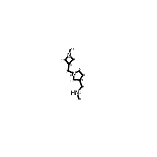 CNCC1CCN(CC2CN(C)C2)C1